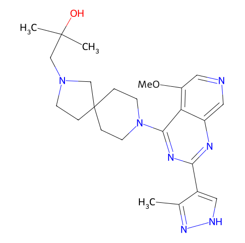 COc1cncc2nc(-c3c[nH]nc3C)nc(N3CCC4(CCN(CC(C)(C)O)C4)CC3)c12